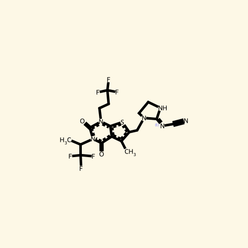 Cc1c(CN2CCN/C2=N\C#N)sc2c1c(=O)n(C(C)C(F)(F)F)c(=O)n2CCC(F)(F)F